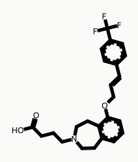 O=C(O)CCCN1CCc2cccc(OC/C=C/c3ccc(C(F)(F)F)cc3)c2CC1